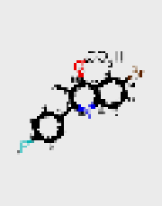 Cc1c(-c2ccc(F)cc2)nc2ccc(Br)cc2c1OC(=O)O